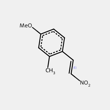 COc1ccc(/C=C/[N+](=O)[O-])c(C)c1